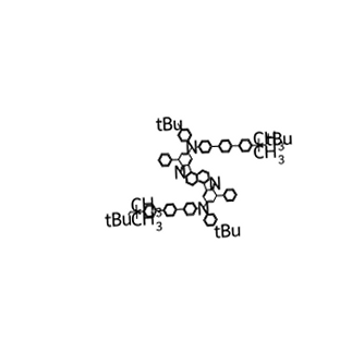 CC(C)(C)CC(C)(C)c1ccc(-c2ccc(-c3ccc(N(C4=CC(c5ccccc5)C5=Nc6ccc7c8c(ccc7c6C5=C4)N=C4C8=CC(N(c5ccc(-c6ccc(-c7ccc(C(C)(C)CC(C)(C)C)cc7)cc6)cc5)c5ccc(C(C)(C)C)cc5)=CC4c4ccccc4)c4ccc(C(C)(C)C)cc4)cc3)cc2)cc1